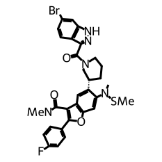 CNC(=O)c1c(-c2ccc(F)cc2)oc2cc(N(C)SC)c([C@H]3CCCN(C(=O)c4n[nH]c5cc(Br)ccc45)C3)cc12